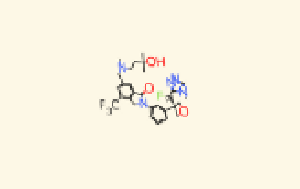 CN(CCC(C)(C)O)Cc1cc2c(c(C(F)(F)F)c1)CN(c1cccc(C3([C@H](F)c4nncn4C)COC3)c1)C2=O